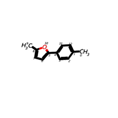 Cc1ccc(-c2ccc(C)o2)cc1